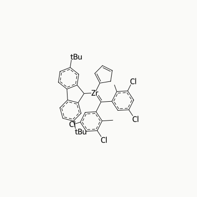 Cc1c(Cl)cc(Cl)cc1[C](c1cc(Cl)cc(Cl)c1C)=[Zr]([C]1=CC=CC1)[CH]1c2cc(C(C)(C)C)ccc2-c2ccc(C(C)(C)C)cc21